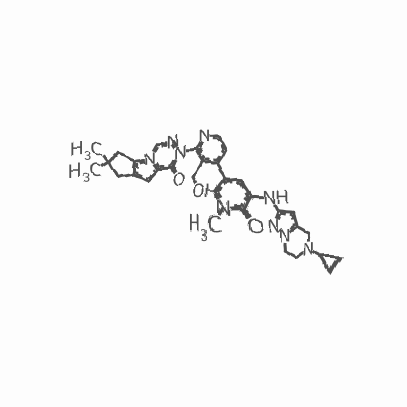 Cn1cc(-c2ccnc(-n3ncn4c5c(cc4c3=O)CC(C)(C)C5)c2CO)cc(Nc2cc3n(n2)CCN(C2CC2)C3)c1=O